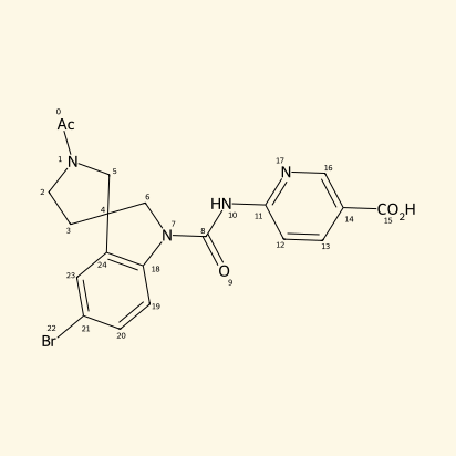 CC(=O)N1CCC2(C1)CN(C(=O)Nc1ccc(C(=O)O)cn1)c1ccc(Br)cc12